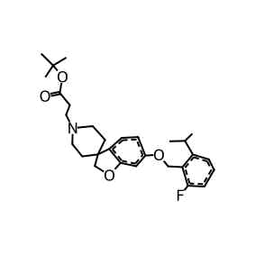 CC(C)c1cccc(F)c1COc1ccc2c(c1)OCC21CCN(CCC(=O)OC(C)(C)C)CC1